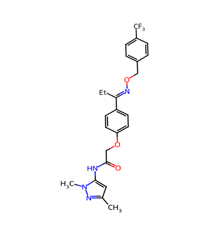 CC/C(=N\OCc1ccc(C(F)(F)F)cc1)c1ccc(OCC(=O)Nc2cc(C)nn2C)cc1